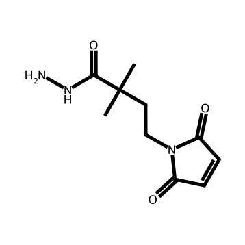 CC(C)(CCN1C(=O)C=CC1=O)C(=O)NN